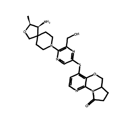 C[C@@H]1OCC2(CCN(c3ncc(Sc4ccnc5c4OCC4CCC(=O)N54)nc3CO)CC2)[C@@H]1N